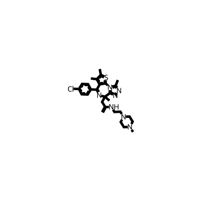 C=C(CC1(C)N=C(c2ccc(Cl)cc2)c2c(sc(C)c2C)-n2c(C)nnc21)NCCN1CCN(C)CC1